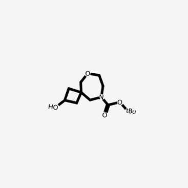 CC(C)(C)OC(=O)N1CCOCC2(CC(O)C2)C1